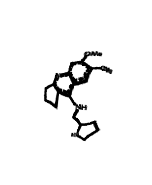 COc1cc2nc3c(c(NCC4CCCN4)c2cc1OC)CCC3